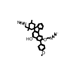 COc1ccc(-c2cc3c(O)cc4c(c3cc2OCN=[N+]=[N-])-c2ccccc2C42CC(C)CC(C)(CN=[N+]=[N-])C2)cc1